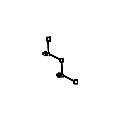 [Cl][Sn][O][Sn][Cl]